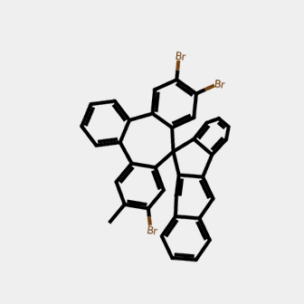 Cc1cc2c(cc1Br)C1(c3cc(Br)c(Br)cc3-c3ccccc3-2)c2ccccc2-c2cc3ccccc3cc21